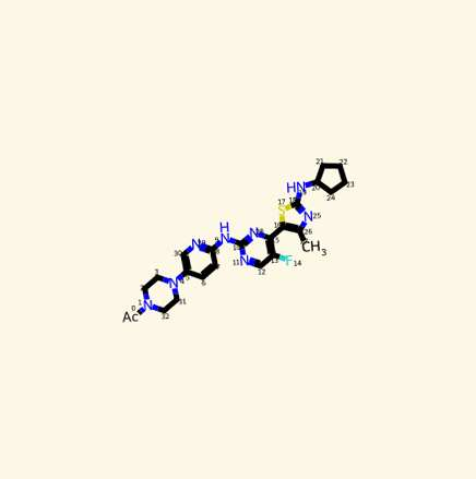 CC(=O)N1CCN(c2ccc(Nc3ncc(F)c(-c4sc(NC5CCCC5)nc4C)n3)nc2)CC1